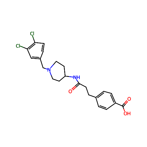 O=C(CCc1ccc(C(=O)O)cc1)NC1CCN(Cc2ccc(Cl)c(Cl)c2)CC1